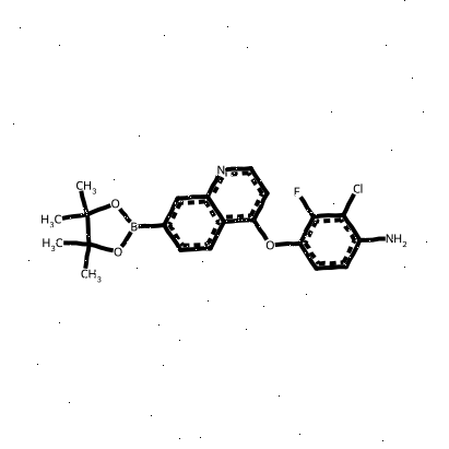 CC1(C)OB(c2ccc3c(Oc4ccc(N)c(Cl)c4F)ccnc3c2)OC1(C)C